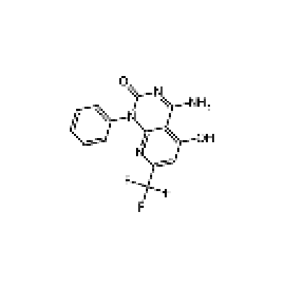 Nc1nc(=O)n(-c2ccccc2)c2nc(C(F)(F)F)cc(O)c12